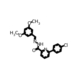 COc1cc(C=NNC(=O)c2cccc(-c3ccc(Cl)cc3)n2)cc(OC)c1